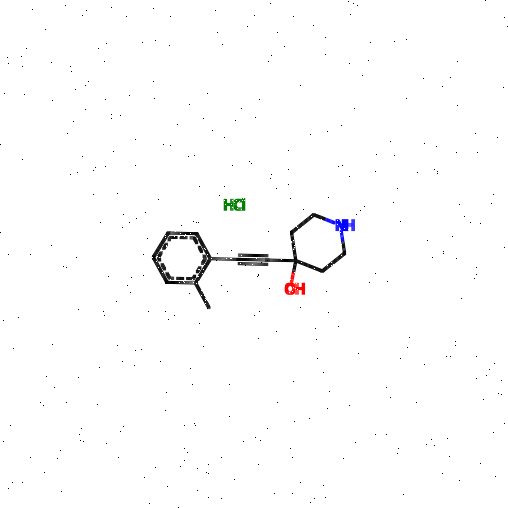 Cc1ccccc1C#CC1(O)CCNCC1.Cl